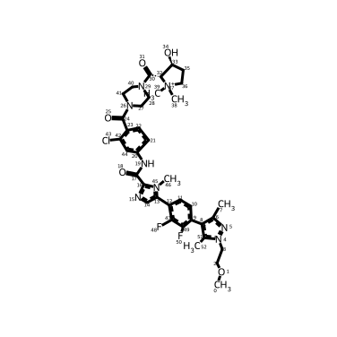 COCCn1nc(C)c(-c2ccc(-c3cnc(C(=O)Nc4ccc(C(=O)N5CCN(C(=O)[C@@H]6[C@@H](O)CC[N+]6(C)C)CC5)c(Cl)c4)n3C)c(F)c2F)c1C